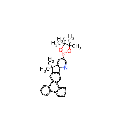 CC1(C)c2cc3c4ccccc4c4ccccc4c3cc2-c2ncc(B3OC(C)(C)C(C)(C)O3)cc21